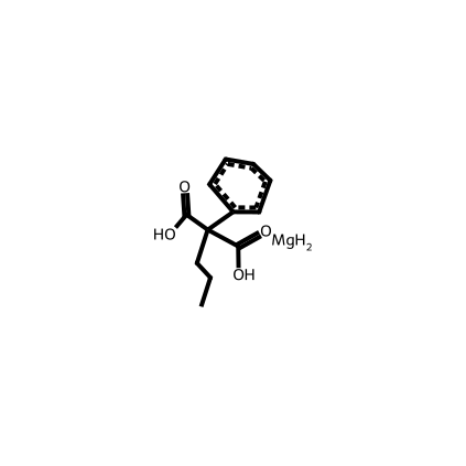 CCCC(C(=O)O)(C(=O)O)c1ccccc1.[MgH2]